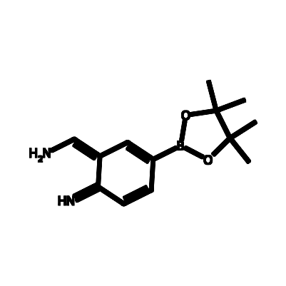 CC1(C)OB(C2=C/C(=C/N)C(=N)C=C2)OC1(C)C